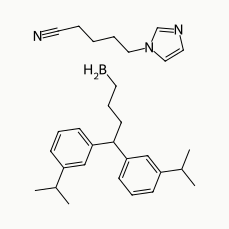 BCCCC(c1cccc(C(C)C)c1)c1cccc(C(C)C)c1.N#CCCCCn1ccnc1